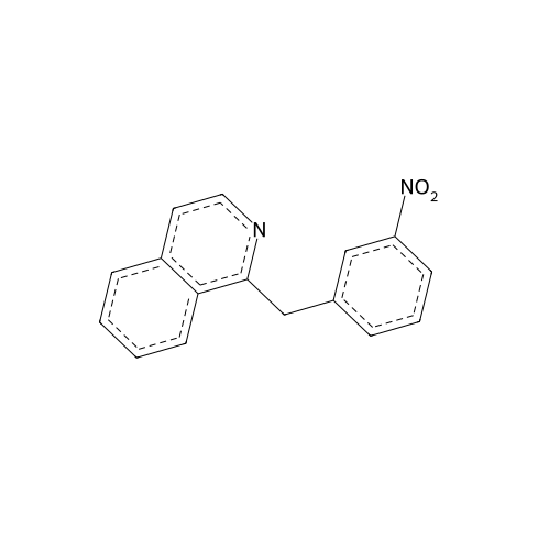 O=[N+]([O-])c1cccc(Cc2nccc3ccccc23)c1